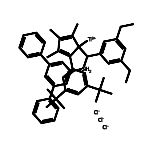 CCc1cc(CC)cc(C([SiH2]c2cc(-c3ccccc3)cc(-c3ccccc3)c2)[C]2([Ti+3])C(C)=C(C)C(C)=C2c2cc(C(C)(C)C)cc(C(C)(C)C)c2)c1.[Cl-].[Cl-].[Cl-]